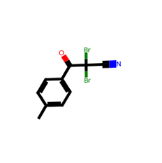 Cc1ccc(C(=O)C(Br)(Br)C#N)cc1